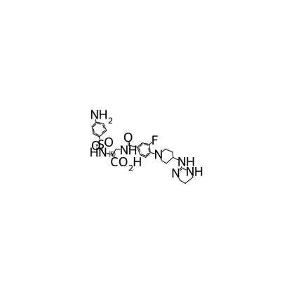 Nc1ccc(S(=O)(=O)N[C@@H](CNC(=O)c2ccc(N3CCC(NC4=NCCCN4)CC3)c(F)c2)C(=O)O)cc1